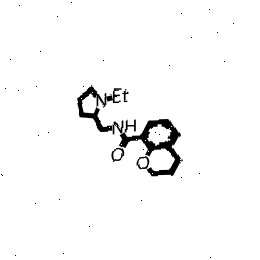 CCN1CCCC1CNC(=O)c1cccc2c1OCCC2